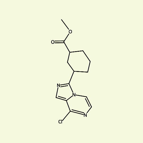 COC(=O)C1CCCC(c2ncc3c(Cl)nccn23)C1